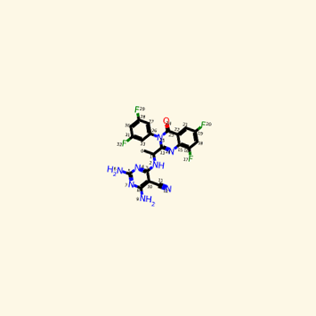 CC(Nc1nc(N)nc(N)c1C#N)c1nc2c(F)cc(F)cc2c(=O)n1-c1cc(F)cc(F)c1